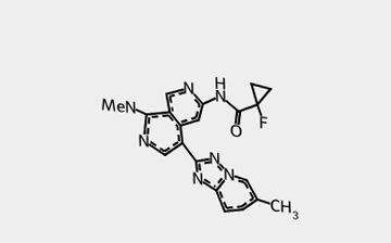 CNc1ncc(-c2nc3ccc(C)cn3n2)c2cc(NC(=O)C3(F)CC3)ncc12